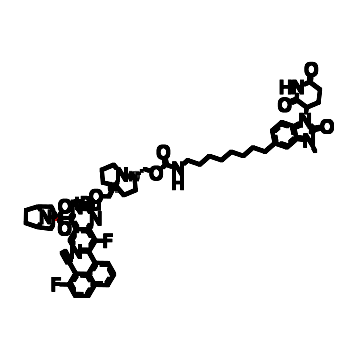 C#Cc1c(F)ccc2cccc(-c3ncc4c(N5CC6CCC(C5)N6C(=O)OC(C)(C)C)nc(OC[C@@]56CCCN5[C@H](COC(=O)NCCCCCCCCc5ccc7c(c5)n(C)c(=O)n7C5CCC(=O)NC5=O)CC6)nc4c3F)c12